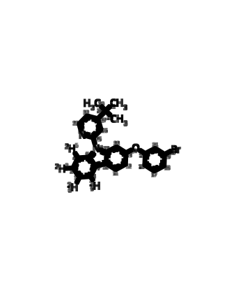 [2H]c1c([2H])c([2H])c2c(c1[2H])c1ccc(Oc3cccc(Br)c3)cc1n2-c1cc(C(C)(C)C)ccn1